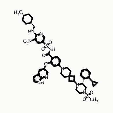 CS(=O)(=O)N1CCN(C2CC3(CCN(c4ccc(C(=O)NS(=O)(=O)c5cnc(NC[C@H]6CC[C@@H](C)CC6)c([N+](=O)[O-])c5)c(Oc5cnc6[nH]ccc6c5)c4)CC3)C2)[C@H](c2ccccc2C2CC2)C1